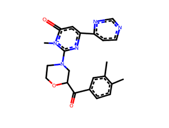 Cc1ccc(C(=O)C2CN(c3nc(-c4ccncn4)cc(=O)n3C)CCO2)cc1C